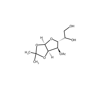 CC(=O)O[C@H]1[C@H]2OC(C)(C)O[C@H]2O[C@@H]1C(O)CO